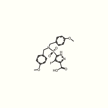 COc1ccc(CN(Cc2ccc(OC)cc2)S(=O)(=O)c2[nH]nc(C(=O)O)c2F)cc1